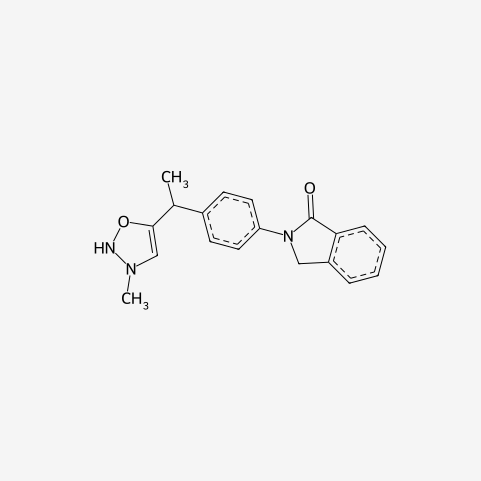 CC(C1=CN(C)NO1)c1ccc(N2Cc3ccccc3C2=O)cc1